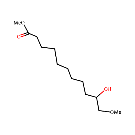 COCC(O)CCCCCCCCC(=O)OC